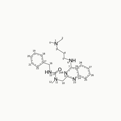 CN(C)CCCNc1nc(CN(C)C(=O)NCc2ccccc2)nc2ccccc12